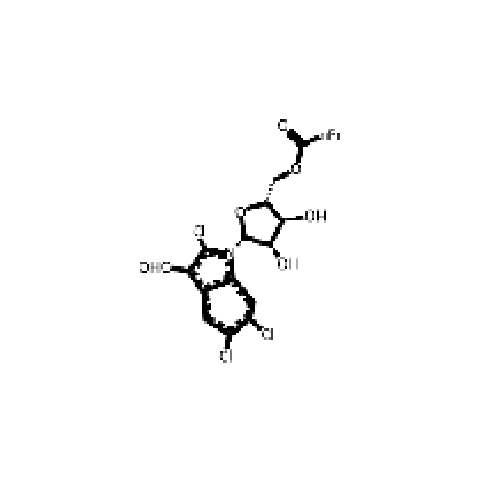 CCCC(=O)OC[C@H]1O[C@@H](n2c(Cl)c(C=O)c3cc(Cl)c(Cl)cc32)[C@H](O)[C@@H]1O